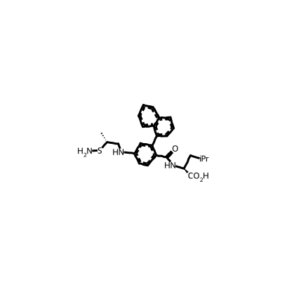 CC(C)C[C@H](NC(=O)c1ccc(NC[C@@H](C)SN)cc1-c1cccc2ccccc12)C(=O)O